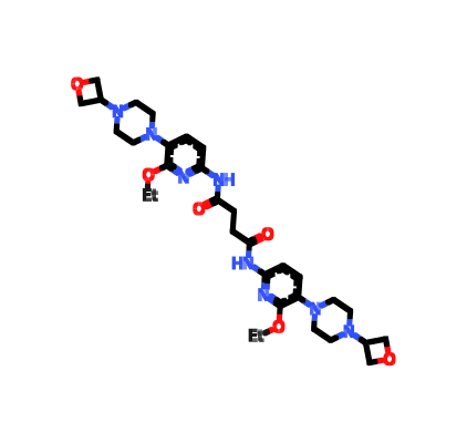 CCOc1nc(NC(=O)CCC(=O)Nc2ccc(N3CCN(C4COC4)CC3)c(OCC)n2)ccc1N1CCN(C2COC2)CC1